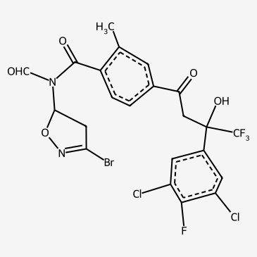 Cc1cc(C(=O)CC(O)(c2cc(Cl)c(F)c(Cl)c2)C(F)(F)F)ccc1C(=O)N(C=O)C1CC(Br)=NO1